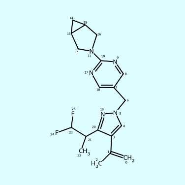 C=C(C)c1cn(Cc2cnc(N3CC4CC4C3)nc2)nc1C(C)C(F)F